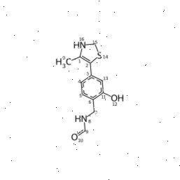 CC1=C(c2ccc(CNC=O)c(O)c2)SCN1